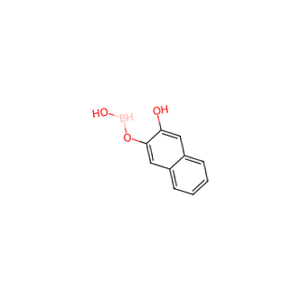 OBOc1cc2ccccc2cc1O